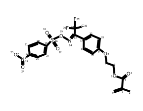 C=C(C)C(=O)OCCOc1ccc(C(=NOS(=O)(=O)c2ccc([N+](=O)[O-])cc2)C(F)(F)F)cc1